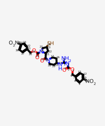 NC(=NC(=O)OCc1ccc([N+](=O)[O-])cc1)NC1CCN(C(=O)C2CC(S)CN2C(=O)OCc2ccc([N+](=O)[O-])cc2)CC1